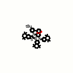 Cc1cc2c3c(c1)N(c1ccc(C(C)(C)C)cc1-c1cc#ccc1)c1c(sc4cc5c(cc14)C(C)(C)CCC5(C)C)B3c1cc3c(cc1N2c1ccc2c(c1)C(C)(C)CCC2(C)C)C(C)(C)CCC3(C)C